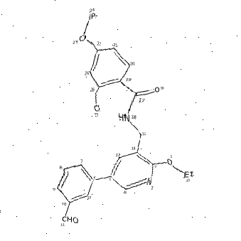 CCOc1ncc(-c2cccc(C=O)c2)cc1CNC(=O)c1ccc(OC(C)C)cc1Cl